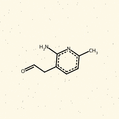 Cc1ccc(CC=O)c(N)n1